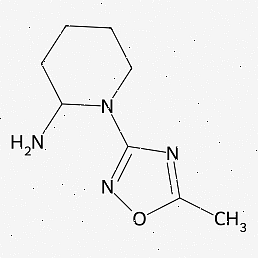 Cc1nc(N2CCCCC2N)no1